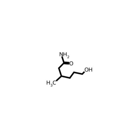 CC(CCCO)CC(N)=O